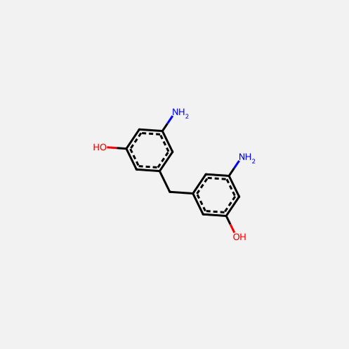 Nc1cc(O)cc(Cc2cc(N)cc(O)c2)c1